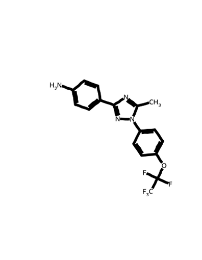 Cc1nc(-c2ccc(N)cc2)nn1-c1ccc(OC(F)(F)C(F)(F)F)cc1